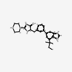 CCC(C)(C)c1cc(-c2cccc(CC3SC(N4CCOCC4)=NC3=O)c2)cc2ncoc12